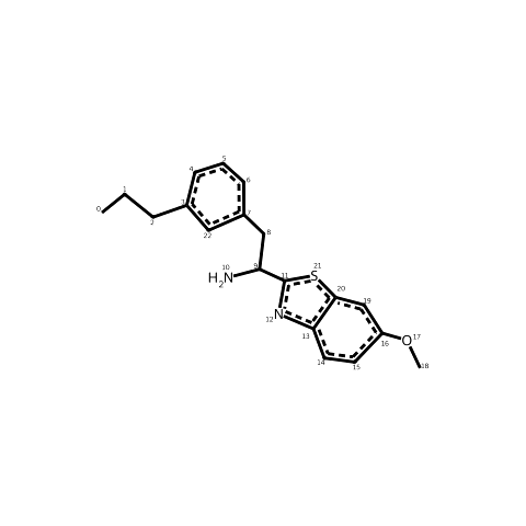 CCCc1cccc(CC(N)c2nc3ccc(OC)cc3s2)c1